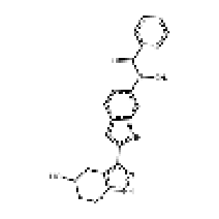 CN(C(=O)c1ccccc1)c1ccc2cc(-c3n[nH]c4c3CC(O)CC4)[nH]c2c1